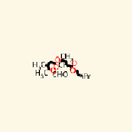 CC(C)CCOC(=O)CCC(C)(C)OC(=O)CC(C)C(C)OC=O